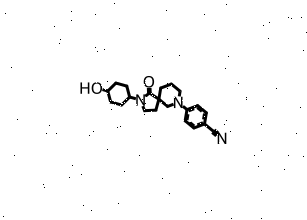 N#Cc1ccc(N2CCCC3(CCN(C4CCC(O)CC4)C3=O)C2)cc1